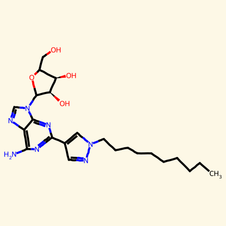 CCCCCCCCCCn1cc(-c2nc(N)c3ncn(C4OC(CO)[C@@H](O)[C@H]4O)c3n2)cn1